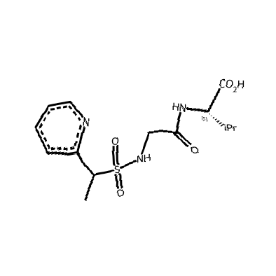 CC(C)[C@H](NC(=O)CNS(=O)(=O)C(C)c1ccccn1)C(=O)O